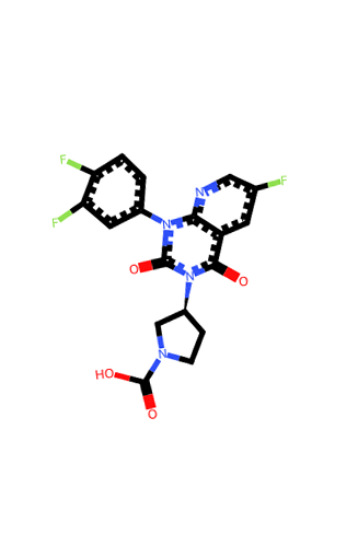 O=C(O)N1CC[C@H](n2c(=O)c3cc(F)cnc3n(-c3ccc(F)c(F)c3)c2=O)C1